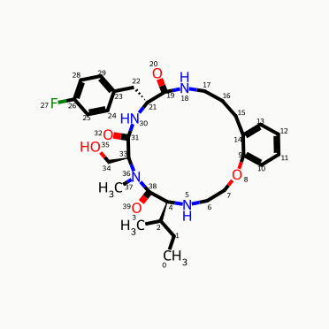 CCC(C)[C@@H]1NCCOc2ccccc2CCCNC(=O)[C@@H](Cc2ccc(F)cc2)NC(=O)[C@H](CO)N(C)C1=O